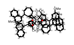 COc1cc(C2C=CC=CC3=C2C=C(C)[C]32[SiH](C)[C]3(C(C)=CC4=C3C=CC=CC4c3cc(OC)cc4ccccc34)[Zr]23([Cl])([Cl])[C]2(C(C)=CC4=C2C=CC=CC4c2cc(OC)cc4ccccc24)[SiH](C)[C]32C(C)=CC3=C2C=CC=CC3c2cc(OC)cc3ccccc23)c2ccccc2c1